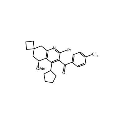 CO[C@H]1CC2(CCC2)Cc2nc(C(C)C)c(C(=O)c3ccc(C(F)(F)F)cc3)c(C3CCCC3)c21